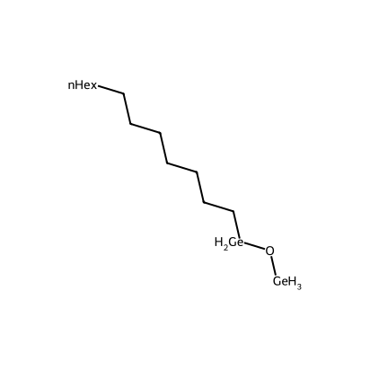 CCCCCCCCCCCC[CH2][GeH2][O][GeH3]